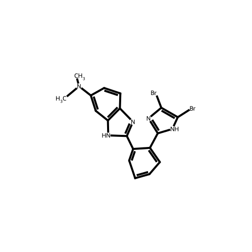 CN(C)c1ccc2nc(-c3ccccc3-c3nc(Br)c(Br)[nH]3)[nH]c2c1